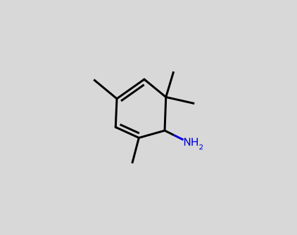 CC1=CC(C)(C)C(N)C(C)=C1